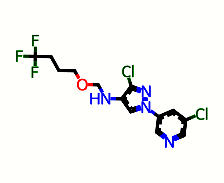 FC(F)(F)CCCOCNc1cn(-c2cncc(Cl)c2)nc1Cl